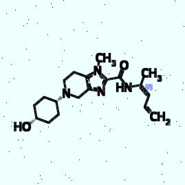 C=C/C=C(/C)NC(=O)c1nc2c(n1C)CCN([C@H]1CC[C@@H](O)CC1)C2